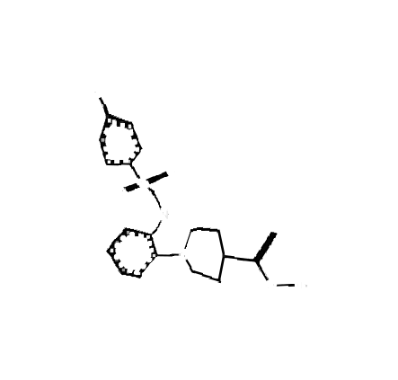 CC(C)c1ccc(S(=O)(=O)Nc2ccccc2N2CCC(C(=O)OC(C)(C)C)CC2)cc1